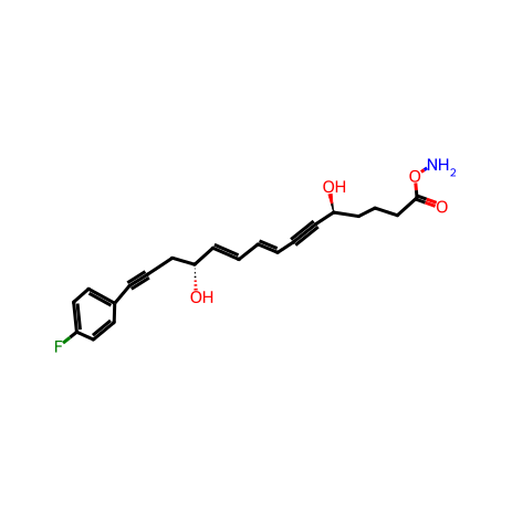 NOC(=O)CCC[C@H](O)C#C/C=C/C=C/[C@H](O)CC#Cc1ccc(F)cc1